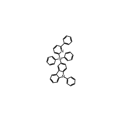 c1ccc(-c2cccc([Si](c3ccccc3)(c3ccccc3)c3ccc4c(c3)c3ccccc3n4-c3ccccc3)n2)cc1